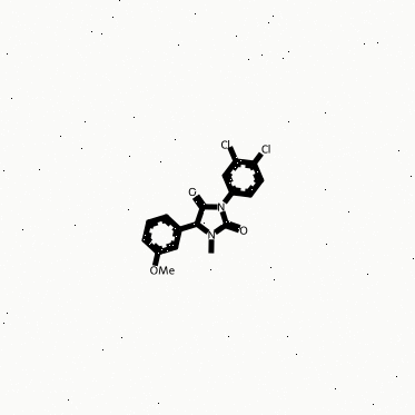 COc1cccc(C2C(=O)N(c3ccc(Cl)c(Cl)c3)C(=O)N2C)c1